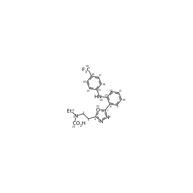 CCN(CCc1nnc(-c2ccccc2Nc2ccc(C(F)(F)F)cc2)o1)C(=O)O